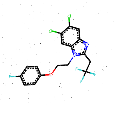 Fc1ccc(OCCn2c(CC(F)(F)F)nc3cc(Cl)c(Cl)cc32)cc1